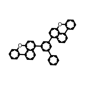 c1ccc(-c2cc(-c3ccc4c5c(cccc35)-c3ccccc3O4)cc(-c3ccc4c5c(cccc35)-c3ccccc3O4)c2)cc1